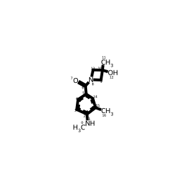 CNc1ccc(C(=O)N2CC(C)(O)C2)cc1C